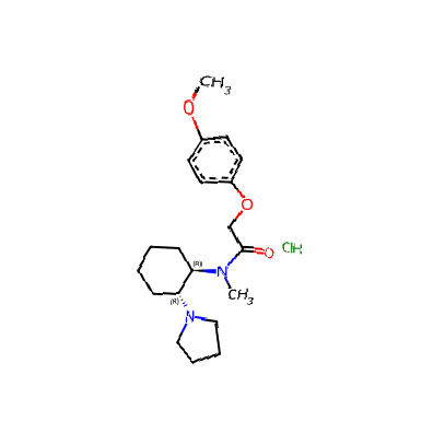 COc1ccc(OCC(=O)N(C)[C@@H]2CCCC[C@H]2N2CCCC2)cc1.Cl